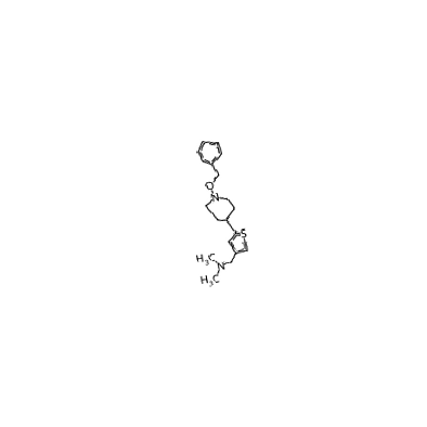 CN(C)Cc1csc(C2CCN(OCc3ccccc3)CC2)c1